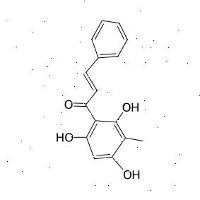 Cc1c(O)cc(O)c(C(=O)C=Cc2ccccc2)c1O